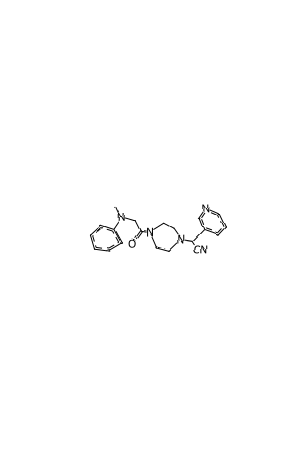 CN(CC(=O)N1CCN(C(C#N)c2cccnc2)CC1)c1ccccc1